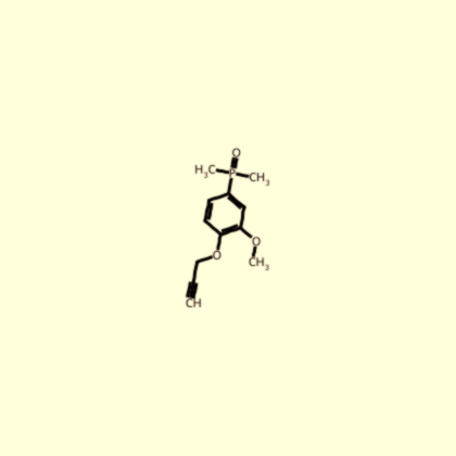 C#CCOc1ccc(P(C)(C)=O)cc1OC